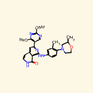 COc1ncc(-c2cc3cc[nH]c(=O)c3c(Nc3ccc(N4CCOC(C)C4)c(C)c3)n2)c(OC)n1